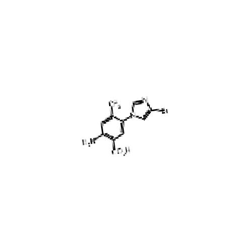 Nc1cc(C(F)(F)F)c(-n2cnc(Br)c2)cc1C(=O)O